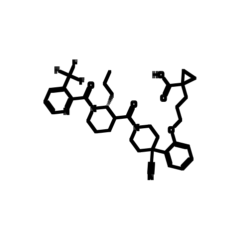 CCC[C@@H]1C(C(=O)N2CCC(C#N)(c3ccccc3OCCCC3(C(=O)O)CC3)CC2)CCCN1C(=O)c1ncccc1C(F)(F)F